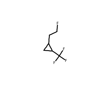 FCCC1CC1C(F)(F)F